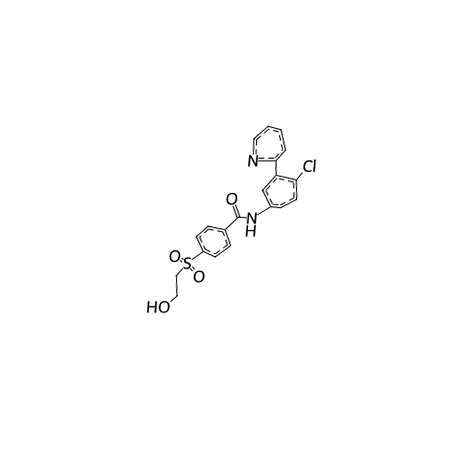 O=C(Nc1ccc(Cl)c(-c2ccccn2)c1)c1ccc(S(=O)(=O)CCO)cc1